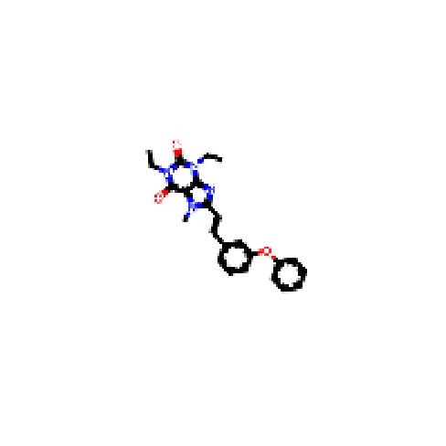 CCn1c(=O)c2c(nc(C=Cc3cccc(Oc4ccccc4)c3)n2C)n(CC)c1=O